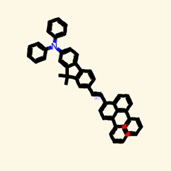 CC1(C)c2cc(/C=C/c3ccc(-c4ccccc4)c4c(-c5ccccc5)cccc34)ccc2-c2ccc(N(c3ccccc3)c3ccccc3)cc21